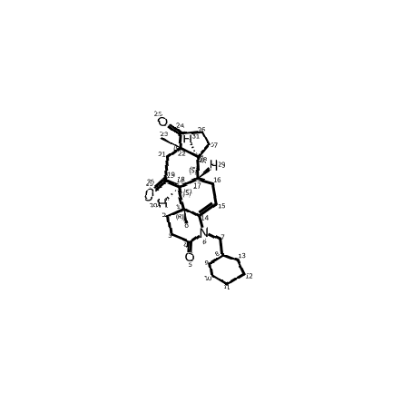 C[C@]12CCC(=O)N(CC3CCCCC3)C1=CC[C@@H]1[C@@H]2C(=O)C[C@]2(C)C(=O)CC[C@@H]12